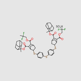 CC(F)(F)COC(=O)C1C2CC(Sc3ccc(Sc4ccc(SC5CC6CC5C(C(=O)OCC(F)(F)S(=O)(=O)O)C6C(=O)OC5(C)C6CC7CC(C6)CC5C7)cc4)cc3)C(C2)C1C(=O)OC1(C)C2CC3CC(C2)CC1C3